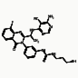 CC(Nc1ncnc(N)c1C#N)c1nc2c(F)cccc2c(=O)n1-c1cccc(NC(=O)NCCCO)c1